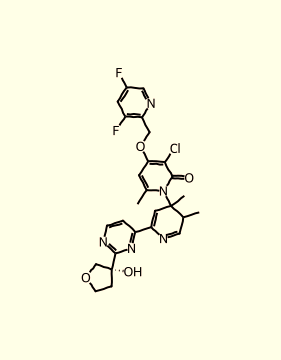 Cc1cc(OCc2ncc(F)cc2F)c(Cl)c(=O)n1C1(C)C=C(c2ccnc([C@@]3(O)CCOC3)n2)N=CC1C